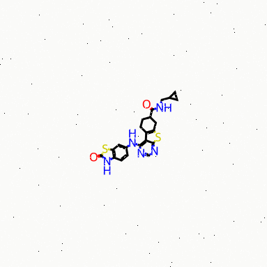 O=C(NCC1CC1)C1CCc2c(sc3ncnc(Nc4ccc5[nH]c(=O)sc5c4)c23)C1